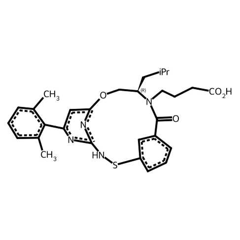 Cc1cccc(C)c1-c1cc2nc(n1)NSc1cccc(c1)C(=O)N(CCCC(=O)O)[C@H](CC(C)C)CO2